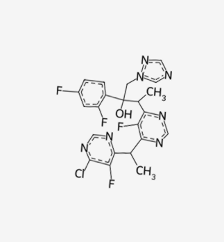 CC(c1ncnc(Cl)c1F)c1ncnc(C(C)C(O)(Cn2cncn2)c2ccc(F)cc2F)c1F